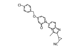 Cc1c(C2CC2C#N)nc2ccc(-n3ccc(OCc4ccc(Cl)cc4)cc3=O)cn12